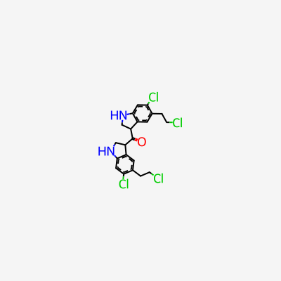 O=C(C1CNc2cc(Cl)c(CCCl)cc21)C1CNc2cc(Cl)c(CCCl)cc21